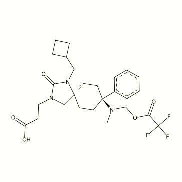 CN(COC(=O)C(F)(F)F)[C@]1(c2ccccc2)CC[C@]2(CC1)CN(CCC(=O)O)C(=O)N2CC1CCC1